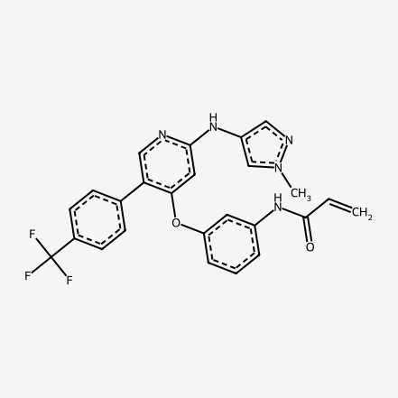 C=CC(=O)Nc1cccc(Oc2cc(Nc3cnn(C)c3)ncc2-c2ccc(C(F)(F)F)cc2)c1